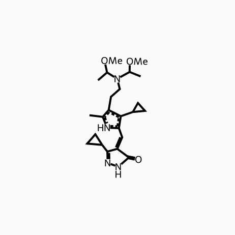 COC(C)N(CCc1c(C)[nH]c(/C=C2/C(=O)NN=C2C2CC2)c1C1CC1)C(C)OC